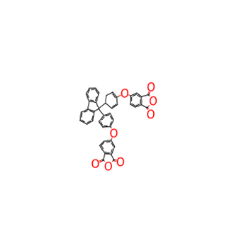 O=C1OC(=O)c2cc(OC3=CCC(C4(c5ccc(Oc6ccc7c(c6)C(=O)OC7=O)cc5)c5ccccc5-c5ccccc54)C=C3)ccc21